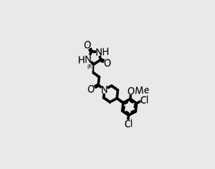 COc1c(Cl)cc(Cl)cc1C1CCN(C(=O)CC[C@H]2NC(=O)NC2=O)CC1